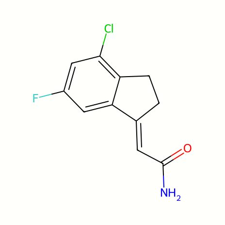 NC(=O)C=C1CCc2c(Cl)cc(F)cc21